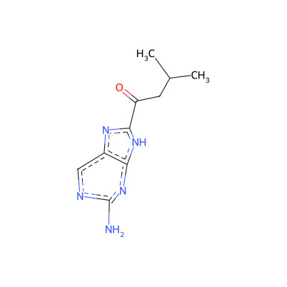 CC(C)CC(=O)c1nc2cnc(N)nc2[nH]1